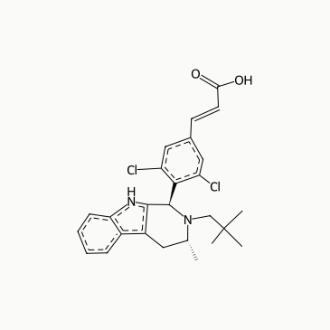 C[C@@H]1Cc2c([nH]c3ccccc23)[C@@H](c2c(Cl)cc(/C=C/C(=O)O)cc2Cl)N1CC(C)(C)C